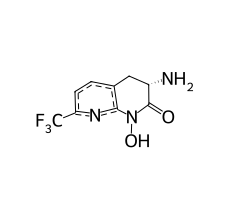 N[C@H]1Cc2ccc(C(F)(F)F)nc2N(O)C1=O